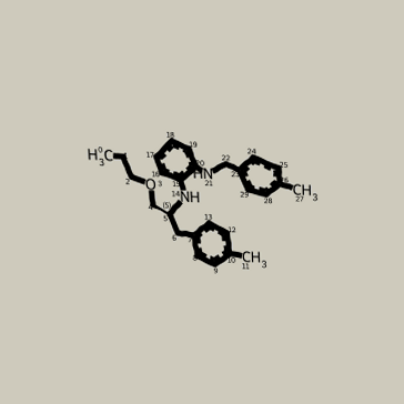 CCCOC[C@H](Cc1ccc(C)cc1)Nc1ccccc1NCc1ccc(C)cc1